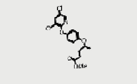 COC(=O)C=CC(C)Oc1ccc(Oc2ncc(Cl)cc2Cl)cc1